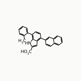 Cc1ccccc1-c1ccc(-c2ccc3ccccc3c2)c2cc(C(=O)O)[nH]c12